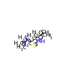 CCN(C)CCN(C)CC(C)CCC1C(c2ccsc2)NC2C=CC(C(C)(C)C)=CC2C1C